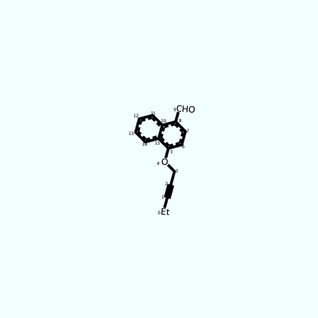 CCC#CCOc1ccc(C=O)c2ccccc12